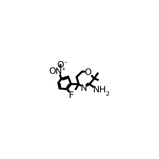 CC1(C)OCCC(C)(c2cc([N+](=O)[O-])ccc2F)N=C1N